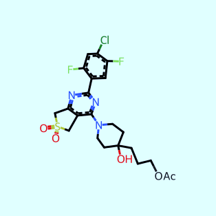 CC(=O)OCCCC1(O)CCN(c2nc(-c3cc(F)c(Cl)cc3F)nc3c2CS(=O)(=O)C3)CC1